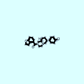 O=C(c1cccc2sccc12)N1CCN2C[C@@H](c3ccc(Cl)cc3)CC[C@@H]2C1